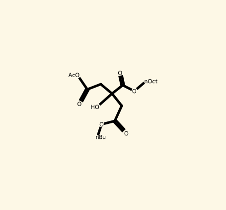 CCCCCCCCOC(=O)C(O)(CC(=O)OCCCC)CC(=O)OC(C)=O